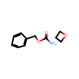 C1COC1.NC(=O)OCc1ccccc1